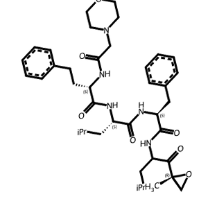 CC(C)CC(NC(=O)[C@H](Cc1ccccc1)NC(=O)[C@H](CC(C)C)NC(=O)[C@H](CCc1ccccc1)NC(=O)CN1CCOCC1)C(=O)[C@@]1(C)CO1